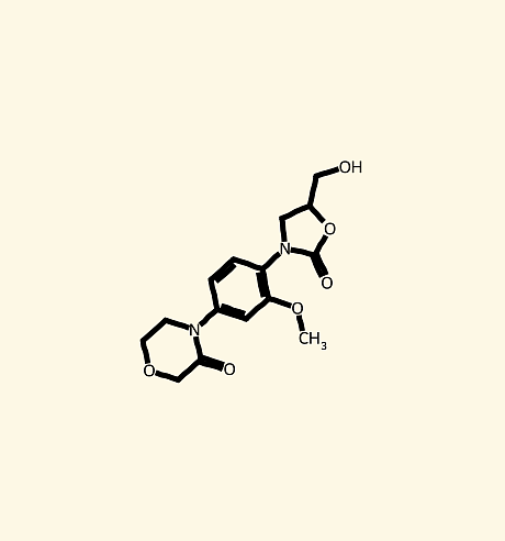 COc1cc(N2CCOCC2=O)ccc1N1CC(CO)OC1=O